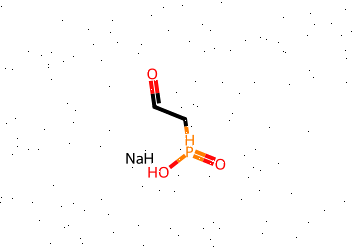 O=CC[PH](=O)O.[NaH]